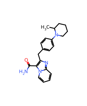 CC1CCCCN1c1ccc(Cc2nc3ccccn3c2C(N)=O)cc1